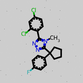 Cn1c(-c2ccc(Cl)cc2Cl)nnc1C1(c2ccc(F)cc2)CCCC1